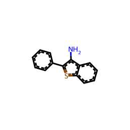 Nc1c(-c2ccccc2)sc2ccccc12